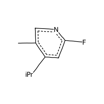 Cc1cnc(F)cc1C(C)C